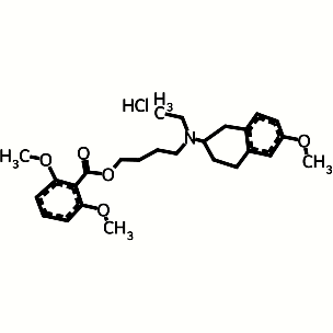 CCN(CCCCOC(=O)c1c(OC)cccc1OC)C1CCc2cc(OC)ccc2C1.Cl